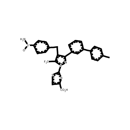 Cc1ccc(-c2cccc(-c3nn(-c4nc(C(=O)O)cs4)c(C(F)(F)F)c3Cc3ccc([S+](N)[O-])cc3)c2)cc1